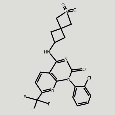 O=c1nc(NC2CC3(C2)CS(=O)(=O)C3)c2ccc(C(F)(F)F)nc2n1-c1ccccc1Cl